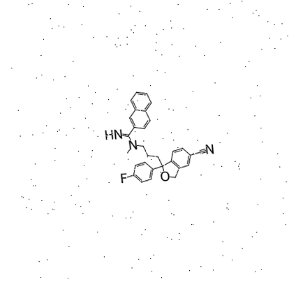 CN(CCCC1(c2ccc(F)cc2)OCc2cc(C#N)ccc21)C(=N)c1ccc2ccccc2c1